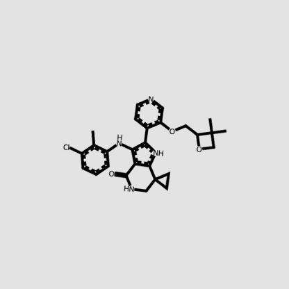 Cc1c(Cl)cccc1Nc1c(-c2ccncc2OCC2OCC2(C)C)[nH]c2c1C(=O)NCC21CC1